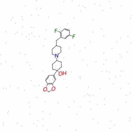 OC1(c2ccc3c(c2)OCO3)CCC(N2CCC(Cc3cc(F)ccc3F)CC2)CC1